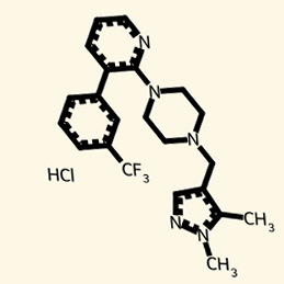 Cc1c(CN2CCN(c3ncccc3-c3cccc(C(F)(F)F)c3)CC2)cnn1C.Cl